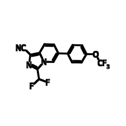 N#Cc1nc(C(F)F)n2cc(-c3ccc(OC(F)(F)F)cc3)ccc12